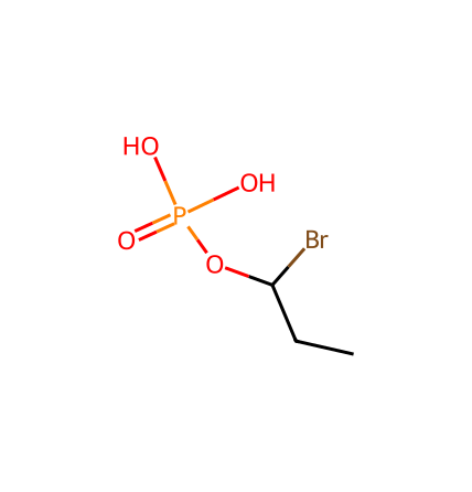 CCC(Br)OP(=O)(O)O